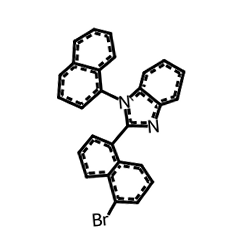 Brc1cccc2c(-c3nc4ccccc4n3-c3cccc4ccccc34)cccc12